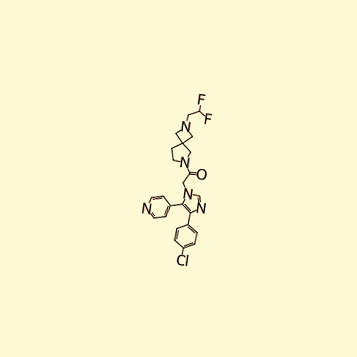 O=C(Cn1cnc(-c2ccc(Cl)cc2)c1-c1ccncc1)N1CCC2(CN(CC(F)F)C2)C1